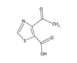 CC(=O)c1ncsc1C(=O)O